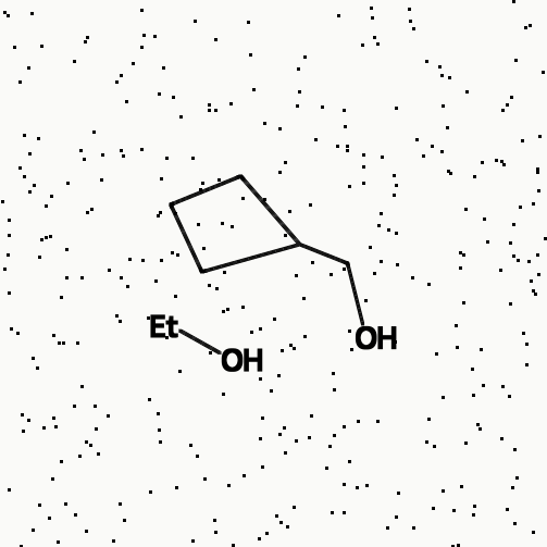 CCO.OCC1CCC1